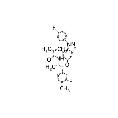 C=C(C)C(=O)N[C@@H](C)[C@H](Oc1ccc2c(cnn2-c2ccc(F)cc2)c1)c1ccc(C)c(F)c1